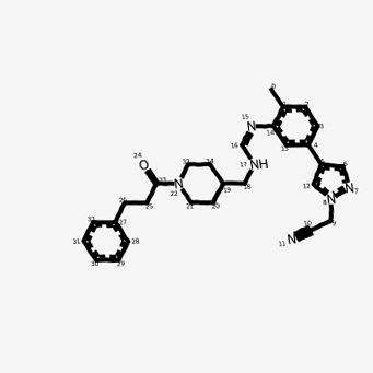 Cc1ccc(-c2cnn(CC#N)c2)cc1/N=C\NCC1CCN(C(=O)CCc2ccccc2)CC1